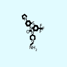 NCCN1CCC(n2c(=O)n3c4c(cc(C(F)(F)F)cc42)Sc2cc(N4CCCC4)ccc2-3)CC1